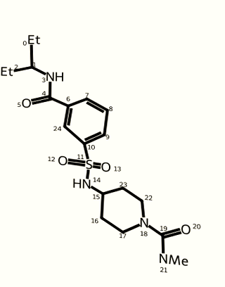 CCC(CC)NC(=O)c1cccc(S(=O)(=O)NC2CCN(C(=O)NC)CC2)c1